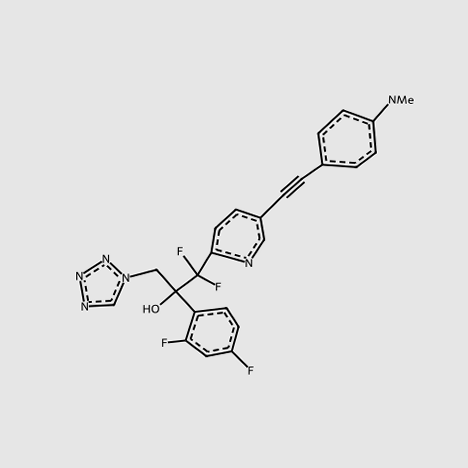 CNc1ccc(C#Cc2ccc(C(F)(F)C(O)(Cn3cnnn3)c3ccc(F)cc3F)nc2)cc1